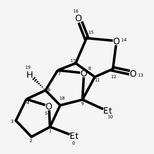 CCC12CCC(O1)[C@H]1C3OC(CC)(C4C(=O)OC(=O)C34)C12